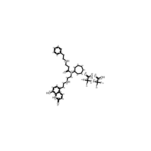 O=C(CCNCCc1ccccc1)N(CCNCCc1ccc(O)c2[nH]c(=O)ccc12)C1CCCCCC1.O=C(O)C(F)(F)F.O=C(O)C(F)(F)F